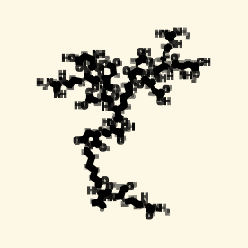 CC(C)C(NC(=O)CCCCCN1C(=O)CC(SC[C@@H](NC(=O)C(CCCCNC(=O)[C@H](CC(=O)O)NC(=O)[C@H](CC(=O)O)NC(=O)[C@H](CCCNC(=N)N)NC(=O)[C@@H](N)CC(=O)O)NC(=O)[C@H](CC(=O)O)NC(=O)[C@H](CC(=O)O)NC(=O)[C@H](CCCNC(=N)N)NC(=O)[C@@H](N)CC(=O)O)C(=O)O)C1=O)C(=O)N[C@H](C=O)CCCNC(N)=O